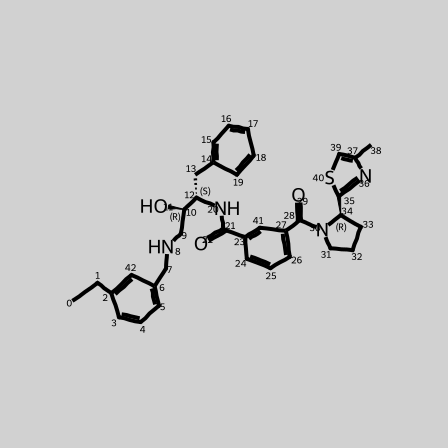 CCc1cccc(CNC[C@@H](O)[C@H](Cc2ccccc2)NC(=O)c2cccc(C(=O)N3CCC[C@@H]3c3nc(C)cs3)c2)c1